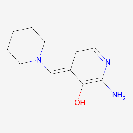 NC1=C(O)C(=CN2CCCCC2)CC=N1